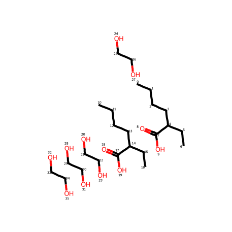 CCCCC(CC)C(=O)O.CCCCC(CC)C(=O)O.OCCO.OCCO.OCCO.OCCO